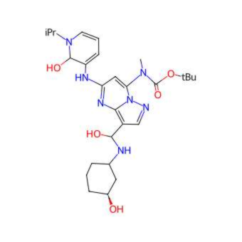 CC(C)N1C=CC=C(Nc2cc(N(C)C(=O)OC(C)(C)C)n3ncc(C(O)NC4CCC[C@H](O)C4)c3n2)C1O